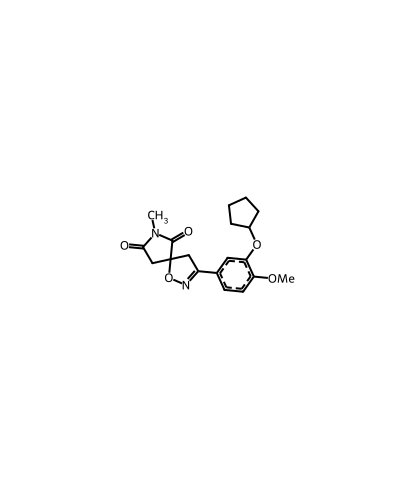 COc1ccc(C2=NOC3(CC(=O)N(C)C3=O)C2)cc1OC1CCCC1